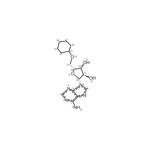 Nc1ncnc2c1ncn2[C@@H]1O[C@H](COC2CCCCC2)[C@@H](O)[C@H]1O